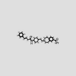 CC(C)C(=O)c1ccc2c(c1)CCN(CCC1CCC(NC(=O)CC=Cc3ccccc3)CC1)CC2